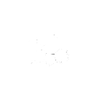 COC1=Cc2ccccc2C1[Si](C)(C)NC(C)(C)C.Cl.Cl.[Zr]